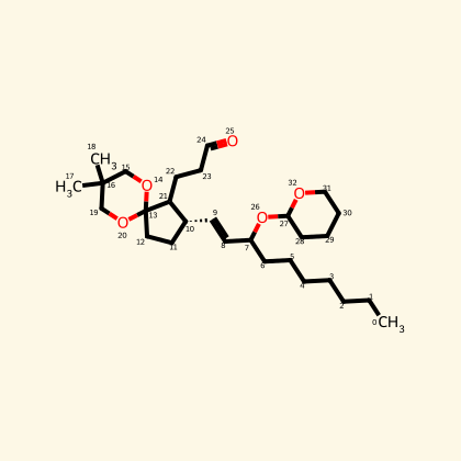 CCCCCCCC(C=C[C@@H]1CCC2(OCC(C)(C)CO2)C1CCC=O)OC1CCCCO1